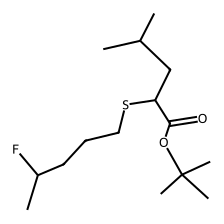 CC(C)CC(SCCCC(C)F)C(=O)OC(C)(C)C